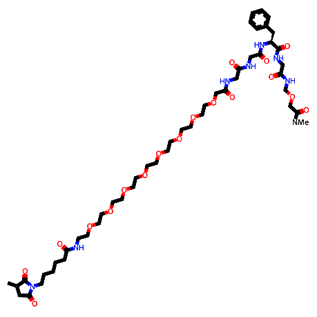 CNC(=O)COCNC(=O)CNC(=O)[C@H](Cc1ccccc1)NC(=O)CNC(=O)CNC(=O)COCCOCCOCCOCCOCCOCCOCCOCCNC(=O)CCCCCN1C(=O)CC(C)C1=O